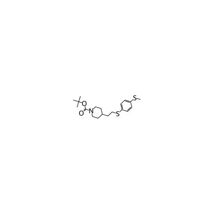 CSc1ccc(SCCC2CCN(C(=O)OC(C)(C)C)CC2)cc1